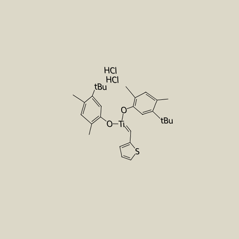 Cc1cc(C)c(C(C)(C)C)cc1[O][Ti](=[CH]c1cccs1)[O]c1cc(C(C)(C)C)c(C)cc1C.Cl.Cl